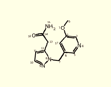 COc1cncc(Cn2nccc2CC(N)=O)c1